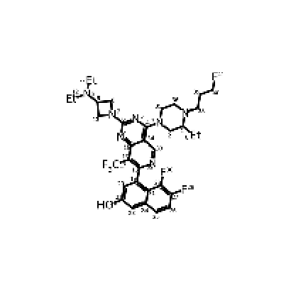 CCC1CN(c2nc(N3CC(N(CC)CC)C3)nc3c(C(F)(F)F)c(-c4cc(O)cc5ccc(F)c(F)c45)ncc23)CCN1CCCF